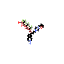 O=C(CCCN1CCN(Cc2ccco2)CC1)c1ccc2c(c1)CCNCC2.O=C(O)C(F)(F)F.O=C(O)C(F)(F)F.O=C(O)C(F)(F)F